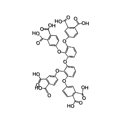 O=C(O)c1ccc(Oc2cccc(Oc3cccc(Oc4ccc(C(=O)O)c(C(=O)O)c4)c3Oc3ccc(C(=O)O)c(C(=O)O)c3)c2Oc2ccc(C(=O)O)c(C(=O)O)c2)cc1C(=O)O